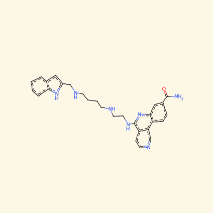 NC(=O)c1ccc2c(c1)nc(NCCNCCCCNCc1cc3ccccc3[nH]1)c1ccncc12